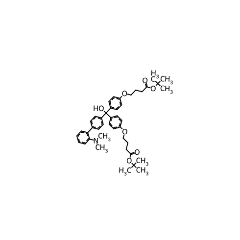 CN(C)c1ccccc1-c1ccc(C(O)(c2ccc(OCCCC(=O)OC(C)(C)C)cc2)c2ccc(OCCCC(=O)OC(C)(C)C)cc2)cc1